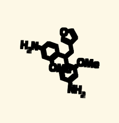 COc1cc(N)ccc1C(Cc1ccoc1)c1ccc(N)cc1OC